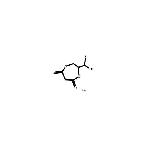 CCCC(CC)C1COC(=O)CC(=O)O1.[Ba]